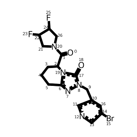 O=C(C1CCCc2nn(Cc3cncc(Br)c3)c(=O)n21)N1CC(F)C(F)C1